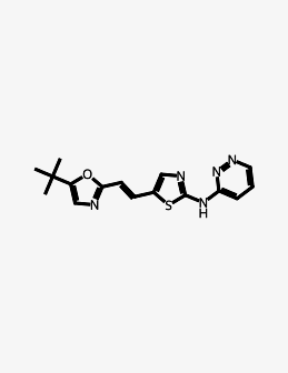 CC(C)(C)c1cnc(/C=C/c2cnc(Nc3cccnn3)s2)o1